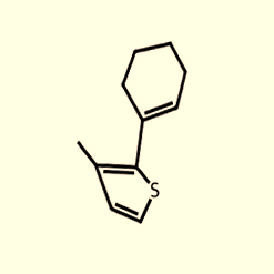 Cc1ccsc1C1=CCCCC1